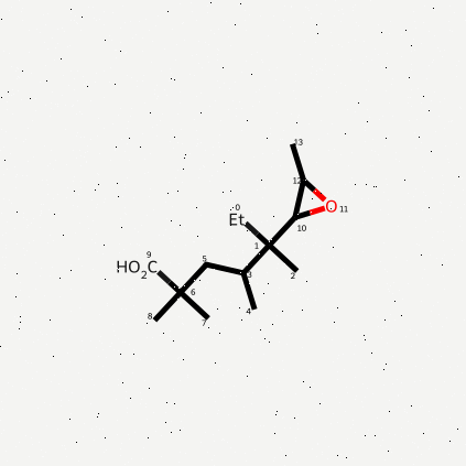 CCC(C)(C(C)CC(C)(C)C(=O)O)C1OC1C